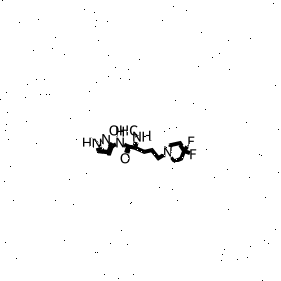 O=CNC(CCCN1CCC(F)(F)CC1)C(=O)Nc1cc[nH]n1